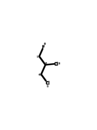 FCC(Cl)[CH]Cl